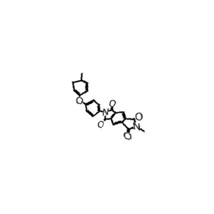 CC1C=CC(Oc2ccc(-n3c(=O)c4cc5c(=O)n(C)c(=O)c5cc4c3=O)cc2)=CC1